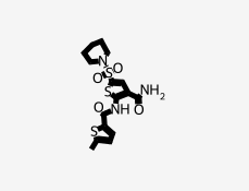 Cc1ccc(C(=O)Nc2sc(S(=O)(=O)N3CCCCC3)cc2C(N)=O)s1